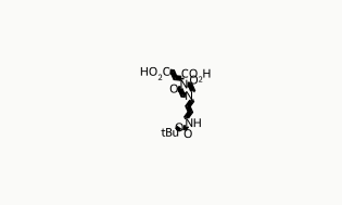 CC(C)(C)OC(=O)NCCCCN1CC(=O)N(C(CCC(=O)O)C(=O)O)C(=O)C1